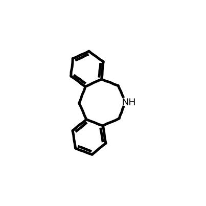 c1ccc2c(c1)CNCc1ccccc1C2